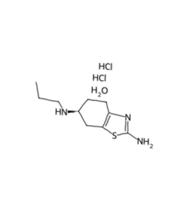 CCCN[C@H]1CCc2nc(N)sc2C1.Cl.Cl.O